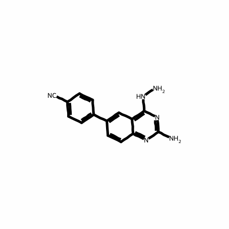 N#Cc1ccc(-c2ccc3nc(N)nc(NN)c3c2)cc1